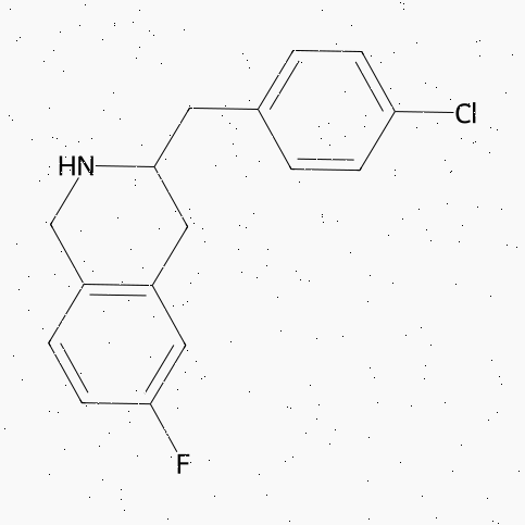 Fc1ccc2c(c1)CC(Cc1ccc(Cl)cc1)NC2